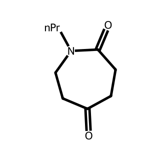 CCCN1CCC(=O)CCC1=O